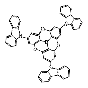 c1ccc2c(c1)c1ccccc1n2-c1cc2c3c(c1)Oc1cc(-n4c5ccccc5c5ccccc54)cc4c1B3c1c(cc(-n3c5ccccc5c5ccccc53)cc1O4)O2